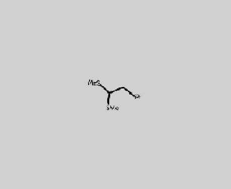 CSC(CC(C)C)SC